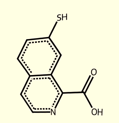 O=C(O)c1nccc2ccc(S)cc12